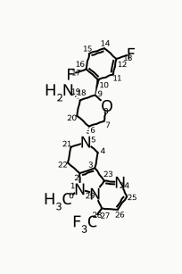 CN1C2=C(CN([C@H]3CO[C@H](c4cc(F)ccc4F)[C@@H](N)C3)CC2)C2=NC=CC(C(F)(F)F)N21